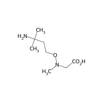 CN(CC(=O)O)OCCC(C)(C)N